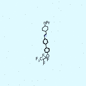 CCCC1CCC(/C=C/c2ccc(-c3ccc(OC(F)(F)C(F)C(F)(F)F)cc3)cc2)CC1